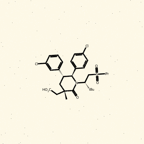 CC(C)S(=O)(=O)C[C@@H](N1C(=O)[C@](C)(CC(=O)O)C[C@H](c2cccc(Cl)c2)[C@H]1c1ccc(Cl)cc1)C(C)(C)C